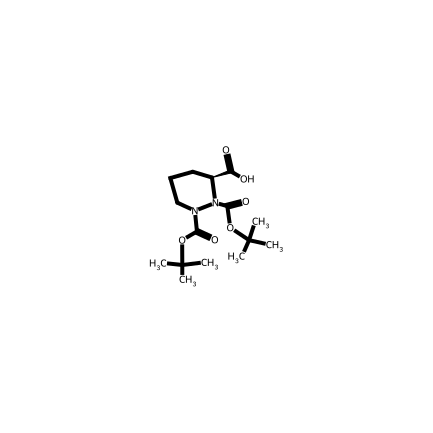 CC(C)(C)OC(=O)N1CCC[C@@H](C(=O)O)N1C(=O)OC(C)(C)C